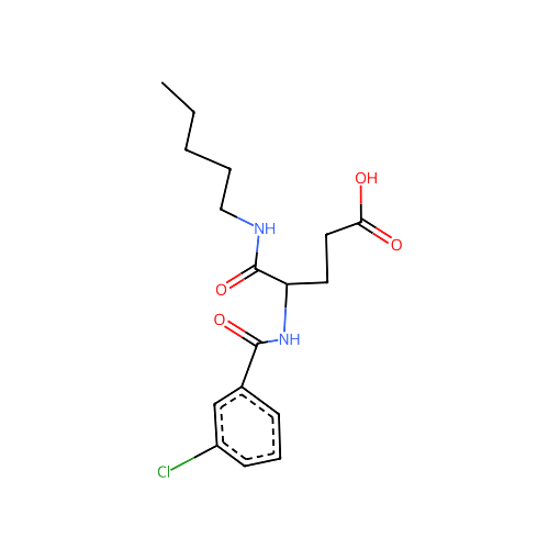 CCCCCNC(=O)C(CCC(=O)O)NC(=O)c1cccc(Cl)c1